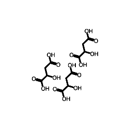 O=C(O)CC(O)C(=O)O.O=C(O)CC(O)C(=O)O.O=C(O)CC(O)C(=O)O